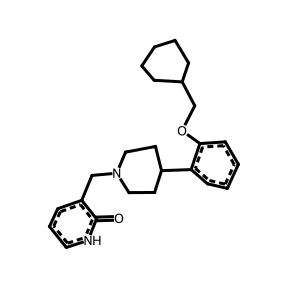 O=c1[nH]cccc1CN1CCC(c2ccccc2OCC2CCCCC2)CC1